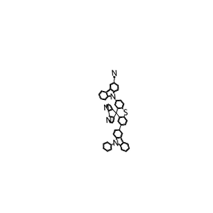 N#Cc1ccc2c(c1)c1ccccc1n2-c1ccc2c(c1)C1(c3cc(-c4ccc5c(c4)c4ccccc4n5-c4ccccc4)ccc3S2)c2cccnc2-c2ncccc21